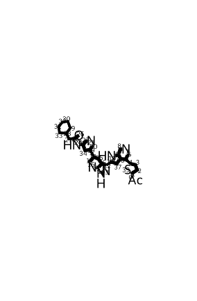 CC(=O)c1ccc(-c2cncc3[nH]c(-c4n[nH]c5ncc(-c6cncc(NC(=O)CC7CCCCC7)c6)cc45)cc23)s1